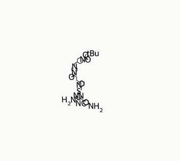 [C-]#[N+]c1c(N)nc(SCc2cccc(CCC(=O)N3CCN(CC4CCN(C(=O)OC(C)(C)C)CC4)CC3)n2)nc1-c1ccc(N)cc1